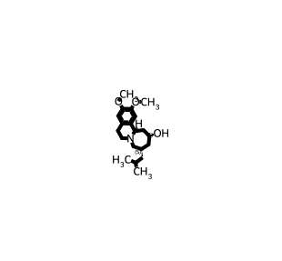 COc1cc2c(cc1OC)[C@H]1C[C@@H](O)C[C@H](CC(C)C)CN1CC2